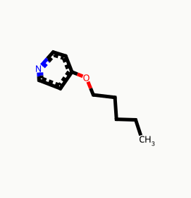 CCCCCOc1ccncc1